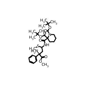 COC(=O)[C@@](N)(CC(NC(=O)C1(C(=O)OC(C)(C)C)CCCCN1C(=O)OC(C)(C)C)SC)c1ccccc1